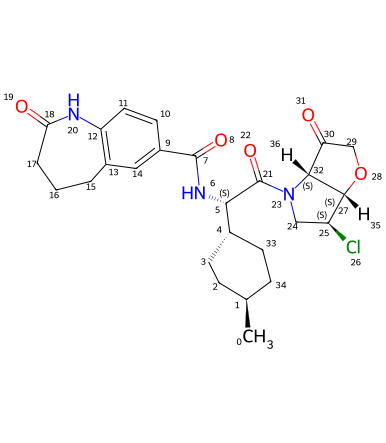 C[C@H]1CC[C@H]([C@H](NC(=O)c2ccc3c(c2)CCCC(=O)N3)C(=O)N2C[C@H](Cl)[C@H]3OCC(=O)[C@H]32)CC1